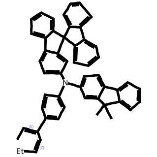 C/C=C(\C=C/CC)c1ccc(N(c2ccc3c(c2)C(C)(C)c2ccccc2-3)c2ccc3c(c2)C2(c4ccccc4-c4ccccc42)c2ccccc2-3)cc1